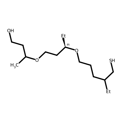 CCC(CS)CCCO[C@H](CC)CCOC(C)CCO